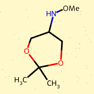 CONC1COC(C)(C)OC1